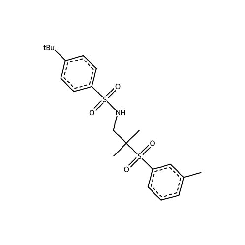 Cc1cccc(S(=O)(=O)C(C)(C)CNS(=O)(=O)c2ccc(C(C)(C)C)cc2)c1